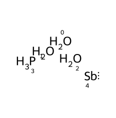 O.O.O.P.[Sb]